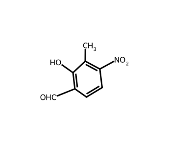 Cc1c([N+](=O)[O-])ccc(C=O)c1O